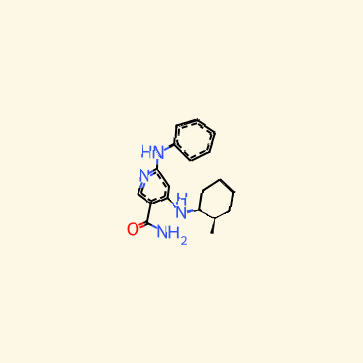 C[C@@H]1CCCC[C@@H]1Nc1cc(Nc2ccccc2)ncc1C(N)=O